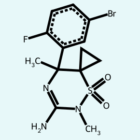 CN1C(N)=NC(C)(c2cc(Br)ccc2F)C2(CC2)S1(=O)=O